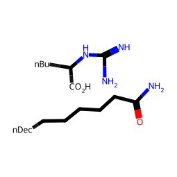 CCCCC(NC(=N)N)C(=O)O.CCCCCCCCCCCCCCCC(N)=O